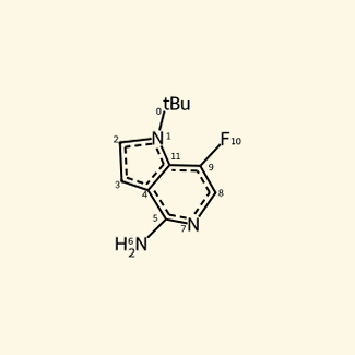 CC(C)(C)n1ccc2c(N)ncc(F)c21